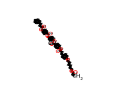 C=CC(=O)OCCCCCCOc1ccc(CCC(=O)Oc2ccc(C(=O)Oc3ccc(OC(=O)c4ccc(OC(=O)CCc5ccccc5)cc4)cc3C)cc2)cc1